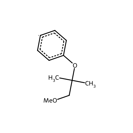 COCC(C)(C)Oc1cc[c]cc1